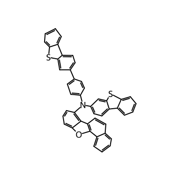 c1ccc2c(c1)ccc1c2oc2cccc(N(c3ccc(-c4ccc5c(c4)sc4ccccc45)cc3)c3ccc4c(c3)sc3ccccc34)c21